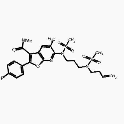 C=CCCN(CCCN(c1nc2oc(-c3ccc(F)cc3)c(C(=O)NC)c2cc1C)S(C)(=O)=O)S(C)(=O)=O